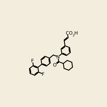 O=C(O)C=Cc1cccc(N(Cc2ccc(-c3c(F)cccc3F)cc2)C(=O)C2CCCCC2)c1